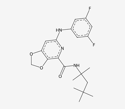 CC(C)(C)CC(C)(C)NC(=O)c1nc(Nc2cc(F)cc(F)c2)cc2c1OCO2